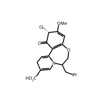 COC1=CC2=C(C(=O)[C@@H]1Cl)C1=CCC(C(=O)O)=CN1C(CC(C)C)CO2